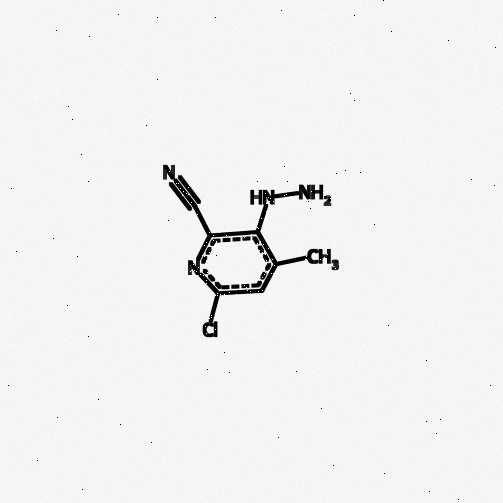 Cc1cc(Cl)nc(C#N)c1NN